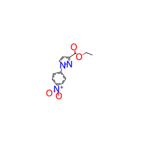 CCOC(=O)c1ccn(-c2ccc([N+](=O)[O-])cc2)n1